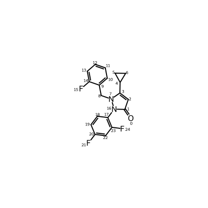 O=c1cc(C2CC2)n(Cc2ccccc2F)n1-c1ccc(F)cc1F